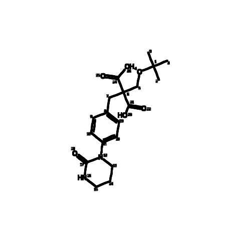 CC(C)(C)OCC(Cc1ccc(N2CCCNC2=O)cc1)(C(=O)O)C(=O)O